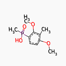 COc1ccc(P(C)(=O)O)c(OC)c1C